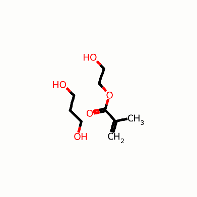 C=C(C)C(=O)OCCO.OCCCO